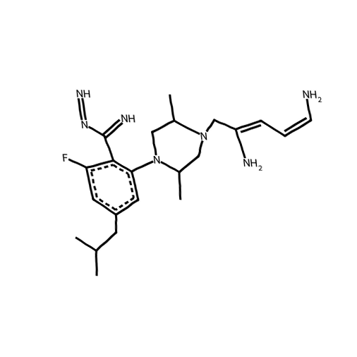 CC(C)Cc1cc(F)c(C(=N)N=N)c(N2CC(C)N(C/C(N)=C/C=C\N)CC2C)c1